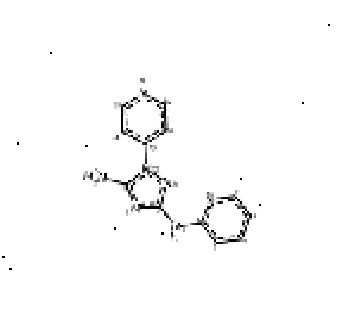 Nc1nc(Nc2ccccc2)nn1-c1ccncc1